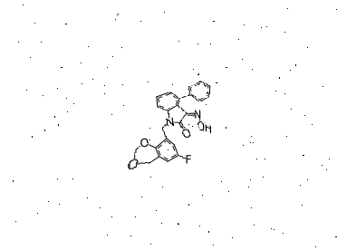 O=C1/C(=N\O)c2c(-c3ccccc3)cccc2N1Cc1cc(F)cc2c1OCOC2